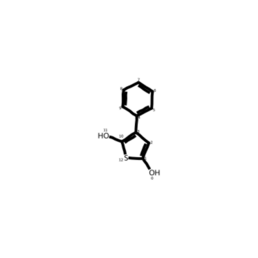 Oc1cc(-c2ccccc2)c(O)s1